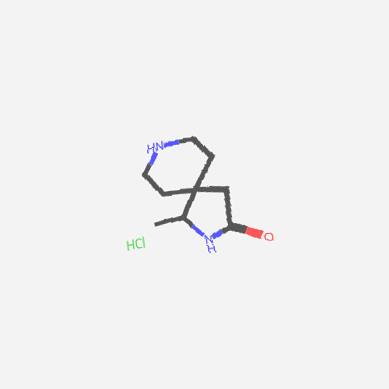 CC1NC(=O)CC12CCNCC2.Cl